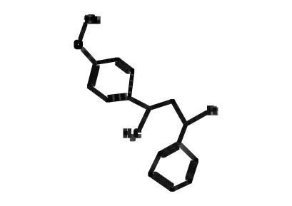 CCC(CC(C)c1ccc(OC(C)(C)C)cc1)c1ccccc1